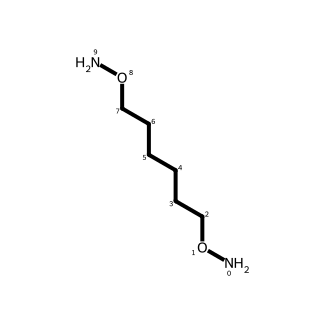 NOCCCCCCON